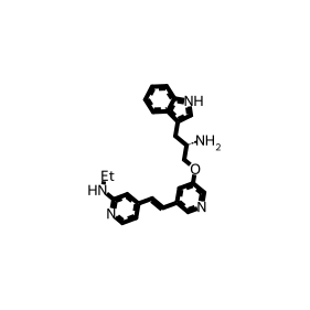 CCNc1cc(C=Cc2cncc(OC[C@@H](N)Cc3c[nH]c4ccccc34)c2)ccn1